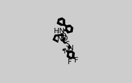 Cn1c(SCC(=O)N2CCC[C@@]2(C)C(=O)Nc2ccccc2-c2ccccc2)nc2cc(F)c(F)cc21